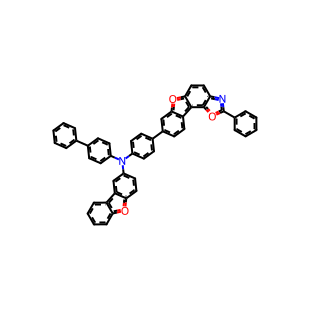 c1ccc(-c2ccc(N(c3ccc(-c4ccc5c(c4)oc4ccc6nc(-c7ccccc7)oc6c45)cc3)c3ccc4oc5ccccc5c4c3)cc2)cc1